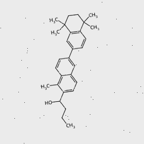 CCCC(O)c1ccc2cc(-c3ccc4c(c3)C(C)(C)CCC4(C)C)ccc2c1C